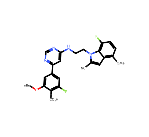 CCCCOc1cc(-c2cc(NCCn3c(C#N)cc4c(OC)ccc(F)c43)ncn2)cc(F)c1C(=O)O